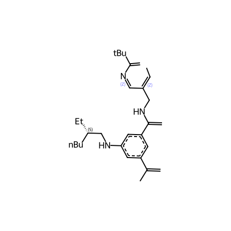 C=C(C)c1cc(NC[C@@H](CC)CCCC)cc(C(=C)NCC(/C=N\C(=C)C(C)(C)C)=C/C)c1